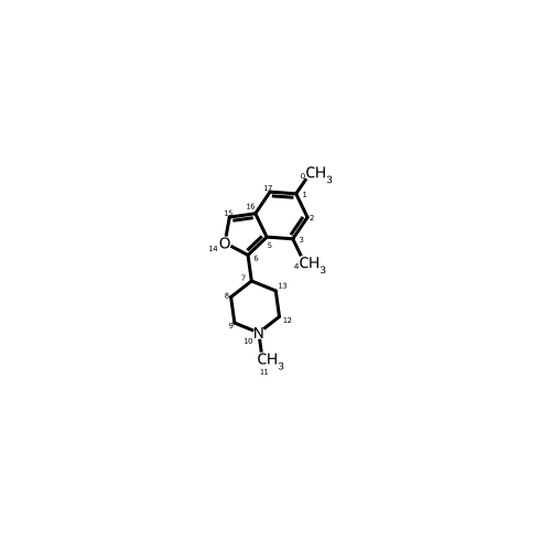 Cc1cc(C)c2c(C3CCN(C)CC3)occ2c1